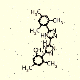 Cc1cc(C)c(-c2nnc(-c3nnc(-c4c(C)cc(C)cc4C)[nH]3)[nH]2)c(C)c1